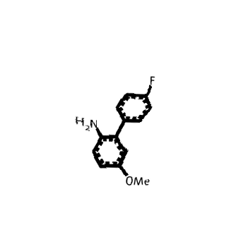 COc1ccc(N)c(-c2ccc(F)cc2)c1